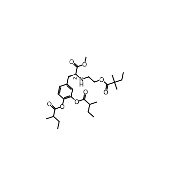 CCC(C)C(=O)Oc1ccc(C[C@H](NCCOC(=O)C(C)(C)CC)C(=O)OC)cc1OC(=O)C(C)CC